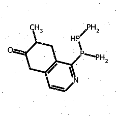 CC1Cc2c(ccnc2P(P)PP)CC1=O